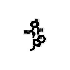 CCc1ccc2c(c1)CCC[C@H]2CNc1cnccc1C(O)OC